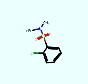 CCCN(C)S(=O)(=O)c1ccccc1Cl